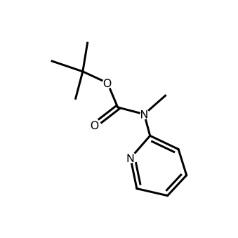 CN(C(=O)OC(C)(C)C)c1ccccn1